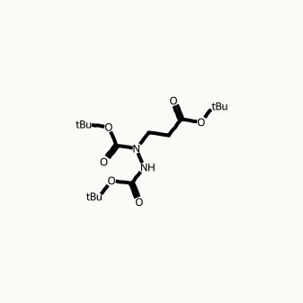 CC(C)(C)OC(=O)CCN(NC(=O)OC(C)(C)C)C(=O)OC(C)(C)C